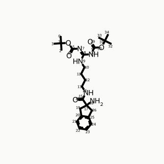 CC(C)(C)OC(=O)/N=C(\NCCCCNC(=O)C1(N)Cc2ccccc2C1)NC(=O)OC(C)(C)C